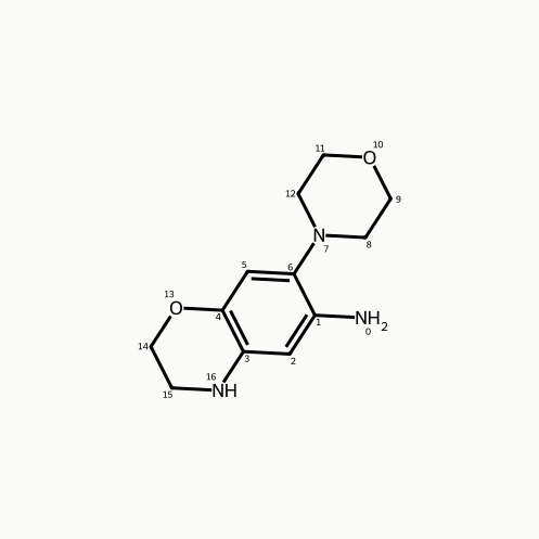 Nc1cc2c(cc1N1CCOCC1)OCCN2